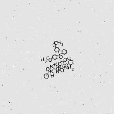 COc1ccc(C(OC[C@H]2O[C@@](C(N)=O)(n3cnc4c(NC(=O)c5ccccc5)ncnc43)[C@H](Oc3ccccc3)[C@@H]2O)(c2ccccc2)c2ccc(OC)cc2)cc1